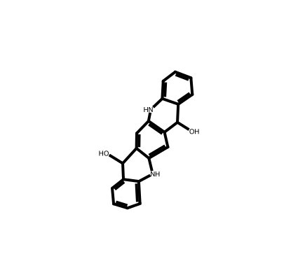 OC1c2ccccc2Nc2cc3c(cc21)Nc1ccccc1C3O